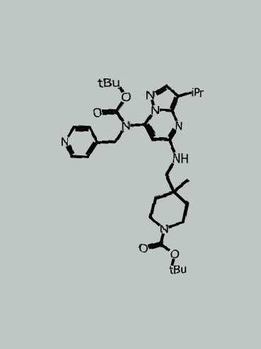 CC(C)c1cnn2c(N(Cc3ccncc3)C(=O)OC(C)(C)C)cc(NCC3(C)CCN(C(=O)OC(C)(C)C)CC3)nc12